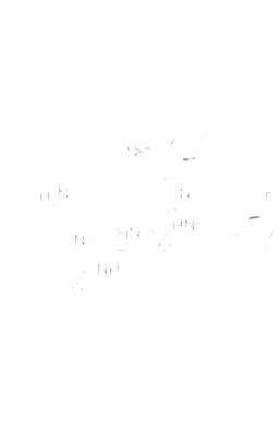 N#Cc1ccccc1-c1ccc(C(=O)NCC2CN(CCN)CC(=O)N2)c(NCCc2cccc(F)c2)n1